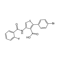 O=C(Nc1csc(-c2ccc(Br)cc2)c1C(=O)O)c1ccccc1F